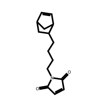 O=C1C=CC(=O)N1CCCCC1CC2C=CC1C2